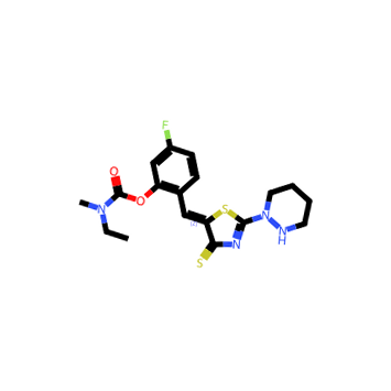 CCN(C)C(=O)Oc1cc(F)ccc1/C=C1\SC(N2CCCCN2)=NC1=S